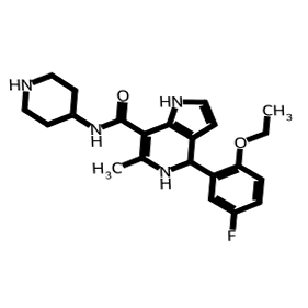 CCOc1ccc(F)cc1C1NC(C)=C(C(=O)NC2CCNCC2)c2[nH]ccc21